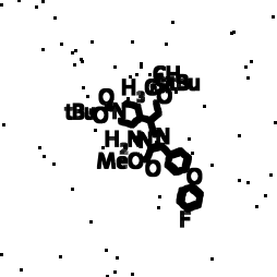 COC(=O)c1c(-c2ccc(Oc3ccc(F)cc3)cc2)nc(C(CCO[Si](C)(C)C(C)(C)C)C2CCN(C(=O)OC(C)(C)C)CC2)n1N